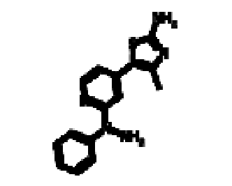 Cc1nc(N)sc1-c1ccnc(N(N)c2ccccc2)c1